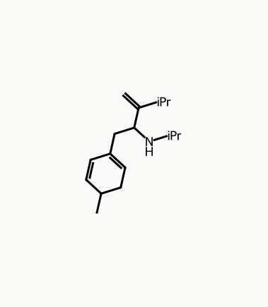 C=C(C(C)C)C(CC1=CCC(C)C=C1)NC(C)C